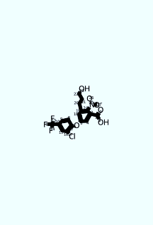 O=C(O)c1cc(Oc2ccc(C(F)(F)F)cc2Cl)cc(CCCO)c1[N+](=O)[O-]